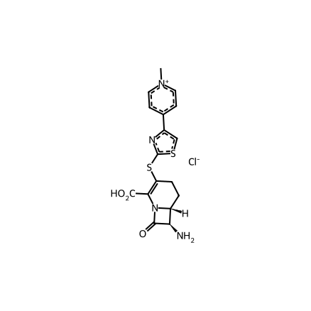 C[n+]1ccc(-c2csc(SC3=C(C(=O)O)N4C(=O)[C@H](N)[C@H]4CC3)n2)cc1.[Cl-]